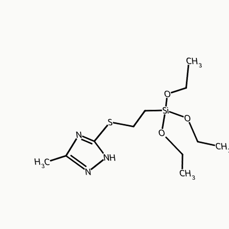 CCO[Si](CCSc1nc(C)n[nH]1)(OCC)OCC